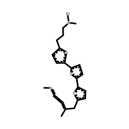 CCN(C)CCCc1ccc(-c2ccc(-c3ccc(CC(C)=C=C=NC)s3)s2)s1